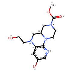 CC(C)(C)OC(=O)N1CCN2c3ncc(Br)cc3N(CCO)CC2C1